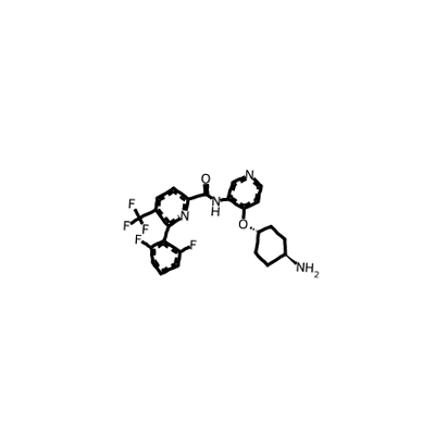 N[C@H]1CC[C@H](Oc2ccncc2NC(=O)c2ccc(C(F)(F)F)c(-c3c(F)cccc3F)n2)CC1